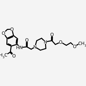 COCCOCC(=O)N1CCN(CC(=O)Nc2cc3c(cc2C(C)=O)OCO3)CC1